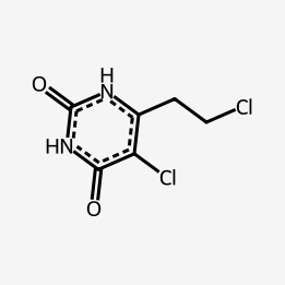 O=c1[nH]c(CCCl)c(Cl)c(=O)[nH]1